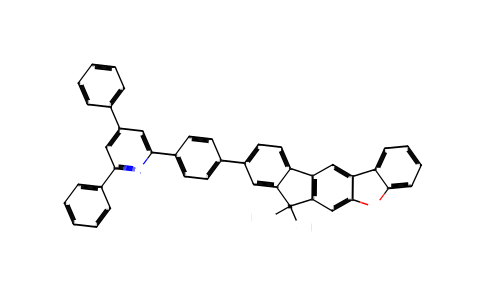 CC1(C)c2cc(-c3ccc(-c4cc(-c5ccccc5)cc(-c5ccccc5)n4)cc3)ccc2-c2cc3c(cc21)oc1ccccc13